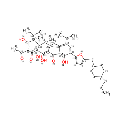 CCCC1CCC(Cc2ccc(-c3cc(C(C)C)c4c(c3O)C(=O)C3=C(O)[C@@]5(O)C(=O)C(C(C)=O)=C(O)C(C(C)C)[C@@]5(C)C[C@@]3(C)C4)o2)CC1